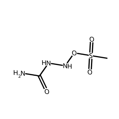 CS(=O)(=O)ONNC(N)=O